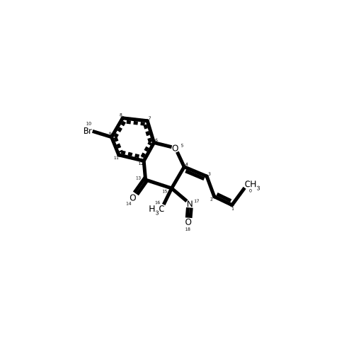 C/C=C\C=C1\Oc2ccc(Br)cc2C(=O)C1(C)N=O